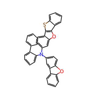 c1ccc(-c2ccccc2N(c2ccc3c(c2)oc2c4ccccc4sc32)c2ccc3oc4ccccc4c3c2)cc1